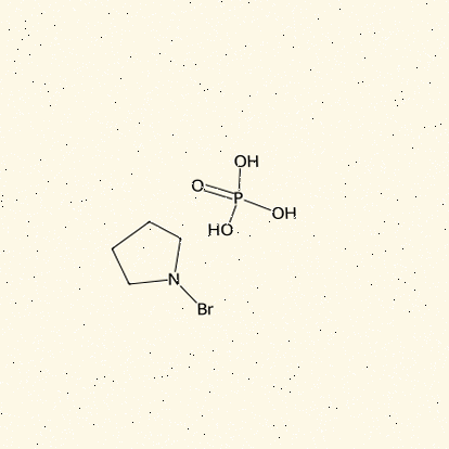 BrN1CCCC1.O=P(O)(O)O